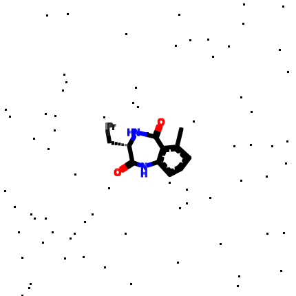 Cc1cccc2c1C(=O)N[C@@H](CC(C)C)C(=O)N2